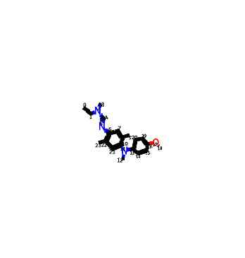 CCN(C)C=Nc1cc(C)c(N(C)c2ccc(OC)cc2)cc1C